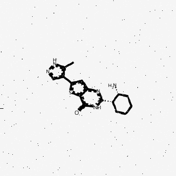 Cc1[nH]ncc1-c1cc2nc([C@H]3CCCC[C@H]3N)[nH]c(=O)c2s1